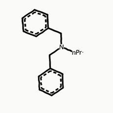 CC[CH]N(Cc1ccccc1)Cc1ccccc1